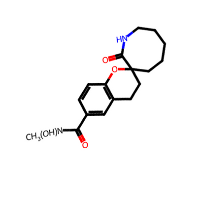 CN(O)C(=O)c1ccc2c(c1)CCC1(CCCCCNC1=O)O2